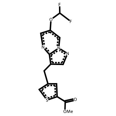 COC(=O)c1cc(Cc2cnn3cc(OC(F)F)cnc23)cs1